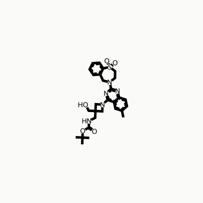 Cc1ccc2nc(N3CCS(=O)(=O)c4ccccc4C3)nc(N3CC(CO)(CNC(=O)OC(C)(C)C)C3)c2c1